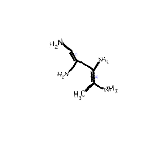 C/C(N)=C(N)\C(N)=C\N